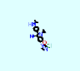 CC(C)Nc1ccc(-c2c(C#N)c3ccc(Oc4nccnc4Cl)cc3n2C2CC2)cc1